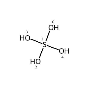 OS(O)(O)O